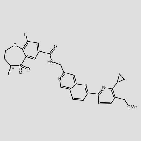 COCc1ccc(-c2ccc3cnc(CNC(=O)c4cc(F)c5c(c4)S(=O)(=O)[C@@H](F)CCO5)cc3n2)nc1C1CC1